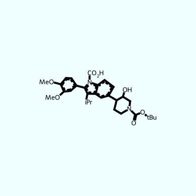 COc1ccc(-c2c(C(C)C)c3cc(C4CCN(C(=O)OC(C)(C)C)CC4O)ccc3n2C(=O)O)cc1OC